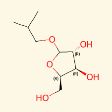 CC(C)COC1O[C@H](CO)[C@H](O)[C@H]1O